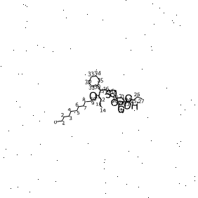 CCCCCCCCCCOC(CCC)C(CSOC(=O)CC(O)(OCCC)P=O)C1CCCCC1